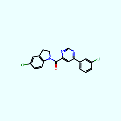 O=C(c1cc(-c2cccc(Cl)c2)ncn1)N1CCc2cc(Cl)ccc21